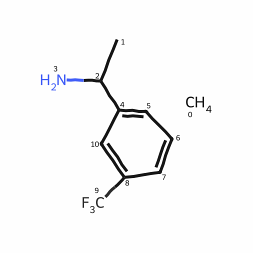 C.CC(N)c1cccc(C(F)(F)F)c1